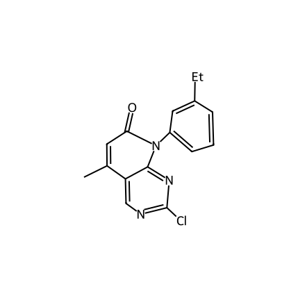 CCc1cccc(-n2c(=O)cc(C)c3cnc(Cl)nc32)c1